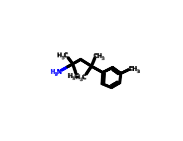 Cc1cccc(C(C)(C)CC(C)(C)N)c1